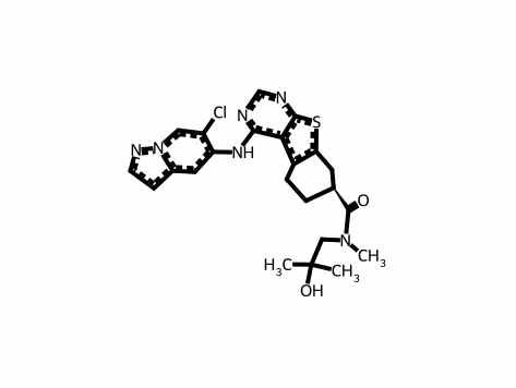 CN(CC(C)(C)O)C(=O)[C@H]1CCc2c(sc3ncnc(Nc4cc5ccnn5cc4Cl)c23)C1